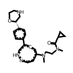 CN(CCN(C)c1ccn[nH]cc(-c2ccc([C@H]3CNCCO3)cc2)cc1)C(=O)C1CC1